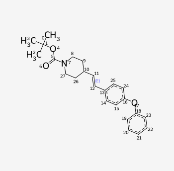 CC(C)(C)OC(=O)N1CCC(/C=C/c2ccc(Oc3ccccc3)cc2)CC1